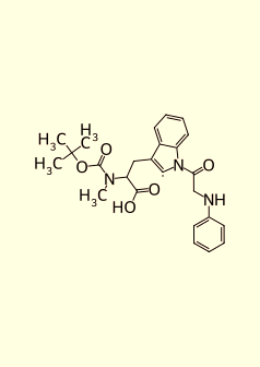 CN(C(=O)OC(C)(C)C)C(Cc1[c]n(C(=O)CNc2ccccc2)c2ccccc12)C(=O)O